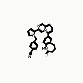 N#Cc1ccc(Cn2cccc2C2=CN3C(=CCC=C3c3ccc4c(c3)CCCC(=O)N4)C=N2)cc1